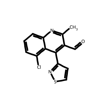 Cc1nc2cccc(Cl)c2c(-c2ccsn2)c1C=O